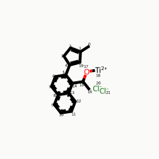 CC1=CCC(c2ccc3ccccc3c2C(C)[O][Ti+2])=C1.[Cl-].[Cl-]